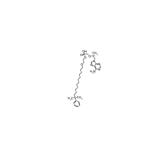 C[C@H](Cn1cnc2c(N)ncnc21)OCP(=O)(O)OCCOCCCCCCCCCCCCS(C)(C)c1ccccc1